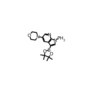 CC1(C)OB(c2cn(P)c3ncc(N4CCOCC4)cc23)OC1(C)C